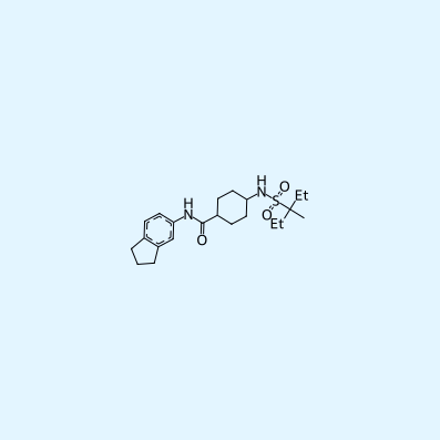 CCC(C)(CC)S(=O)(=O)NC1CCC(C(=O)Nc2ccc3c(c2)CCC3)CC1